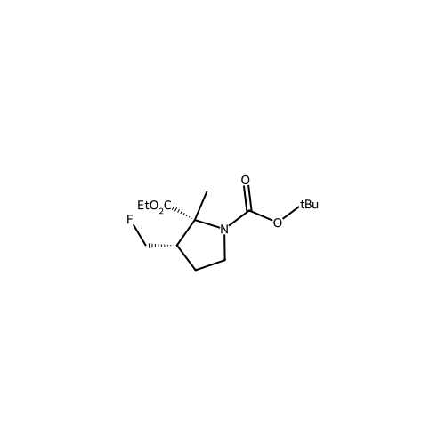 CCOC(=O)[C@@]1(C)[C@@H](CF)CCN1C(=O)OC(C)(C)C